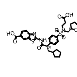 O=C(O)CCN(C[C@H]1CCCO1)S(=O)(=O)c1ccc([C@@H](CC2CCCC2)C(=O)Nc2nc3ccc(C(=O)O)cc3s2)cc1